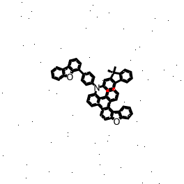 CC1(C)c2ccccc2-c2ccc(N(c3ccc(-c4cccc5c4oc4ccccc45)cc3)c3cccc4c5ccc6oc7ccccc7c6c5c5ccccc5c34)cc21